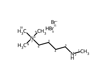 Br.CNCCCC[N+](C)(C)C.[Br-]